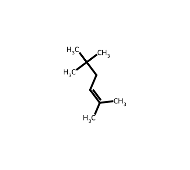 CC(C)=CCC(C)(C)C